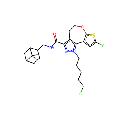 CC1(C)C2CCC(CNC(=O)c3nn(CCCCCCl)c4c3CCOc3sc(Cl)cc3-4)C1C2